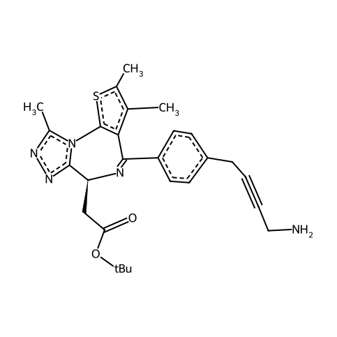 Cc1sc2c(c1C)C(c1ccc(CC#CCN)cc1)=N[C@@H](CC(=O)OC(C)(C)C)c1nnc(C)n1-2